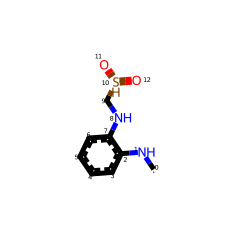 [CH2]Nc1ccccc1NC[SH](=O)=O